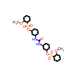 COc1ccccc1S(=O)(=O)Oc1cccc(NC(=O)Nc2cccc(OS(=O)(=O)c3ccccc3OC)c2)c1